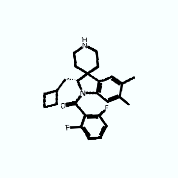 Cc1cc2c(cc1C)C1(CCNCC1)[C@@H](CC1CCC1)N2C(=O)c1c(F)cccc1F